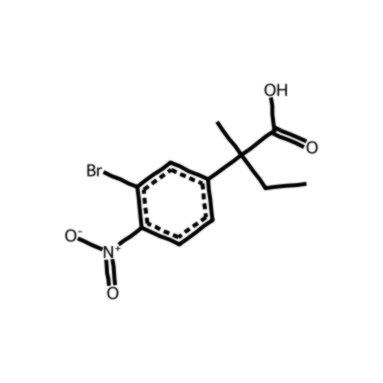 CCC(C)(C(=O)O)c1ccc([N+](=O)[O-])c(Br)c1